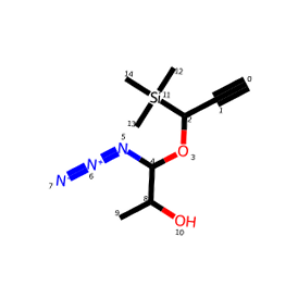 C#CC(OC(N=[N+]=[N-])C(C)O)[Si](C)(C)C